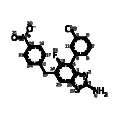 Nc1nc2c(-c3cccc(Cl)c3)c(F)c(Cc3ccc([N+](=O)[O-])cc3)cc2s1